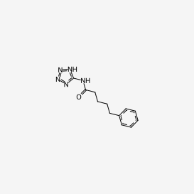 O=C(CCCCc1ccccc1)Nc1nnn[nH]1